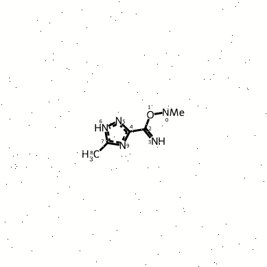 CNOC(=N)c1n[nH]c(C)n1